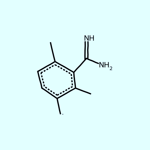 [CH2]c1ccc(C)c(C(=N)N)c1C